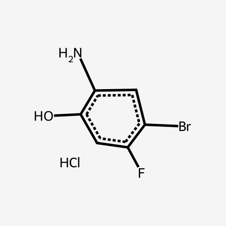 Cl.Nc1cc(Br)c(F)cc1O